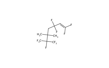 CC(C)(CC(F)(F)C=C(F)F)C(F)(C(F)(F)F)C(F)(F)F